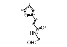 O=CCNC(=O)C=Cc1ccco1